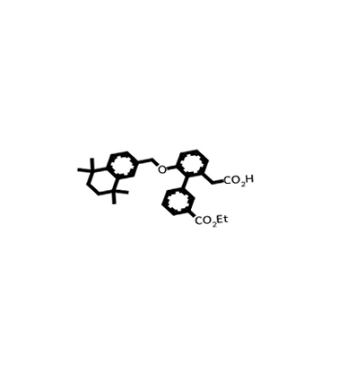 CCOC(=O)c1cccc(-c2c(CC(=O)O)cccc2OCc2ccc3c(c2)C(C)(C)CCC3(C)C)c1